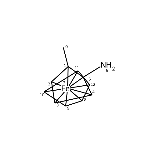 C[C]12[CH]3[CH]4[CH]5[C]1(N)[Fe]43521678[CH]2[CH]1[CH]6[CH]7[CH]28